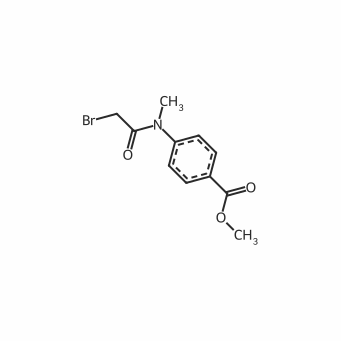 COC(=O)c1ccc(N(C)C(=O)CBr)cc1